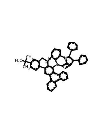 CC(C)(C)c1ccc2c(c1)C[C@@H]1c3cccc4c3B(c3c1c-2cc1c2ccccc2c2ccccc2c31)c1cccc2c(-c3ccccc3)c(-c3ccccc3)n-4c12